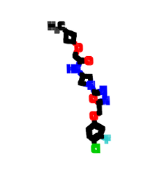 C[C@H]1C[C@@H](OCC(=O)NC2CN(c3nnc(COc4ccc(Cl)c(F)c4)o3)C2)C1